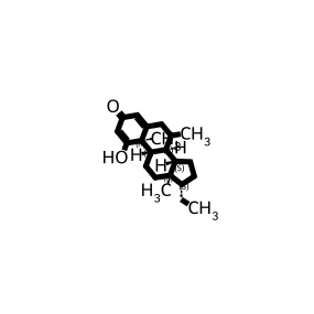 CC[C@H]1CC[C@H]2[C@@H]3C(C)CC4=CC(=O)C=C(O)[C@]4(C)[C@H]3CC[C@]12C